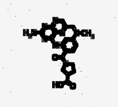 CN(Cc1cnc2nc(N)nc(N)c2n1)c1ccc(C(=O)N2CCC(C(=O)O)C2)cc1